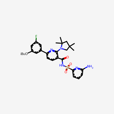 CC(C)COc1cc(F)cc(-c2ccc(C(=O)NS(=O)(=O)c3cccc(N)n3)c(N3CC(C)(C)CC3(C)C)n2)c1